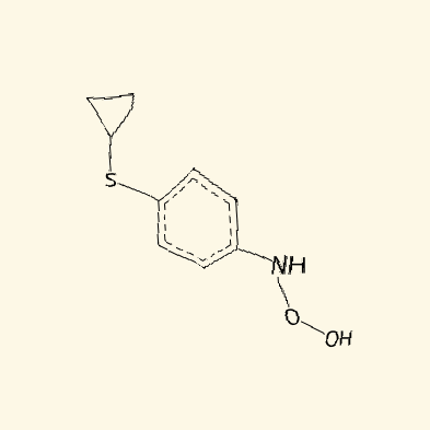 OONc1ccc(SC2CC2)cc1